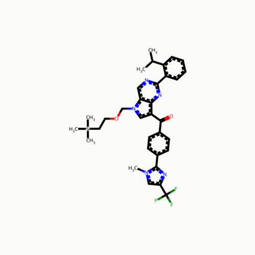 CC(C)c1ccccc1-c1ncc2c(n1)c(C(=O)c1ccc(-c3nc(C(F)(F)F)cn3C)cc1)cn2COCC[Si](C)(C)C